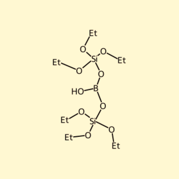 CCO[Si](OCC)(OCC)OB(O)O[Si](OCC)(OCC)OCC